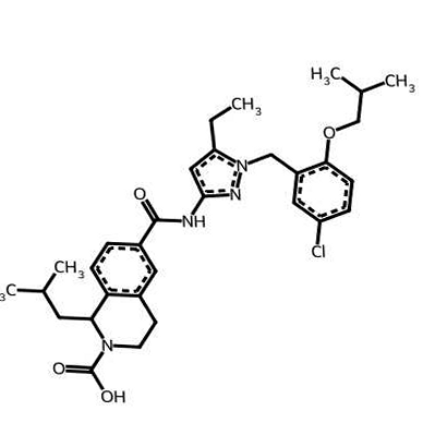 CCc1cc(NC(=O)c2ccc3c(c2)CCN(C(=O)O)C3CC(C)C)nn1Cc1cc(Cl)ccc1OCC(C)C